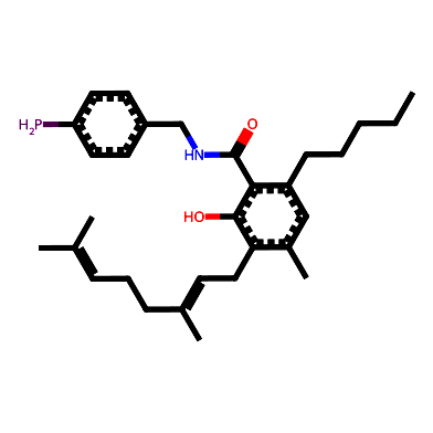 CCCCCc1cc(C)c(C/C=C(\C)CCC=C(C)C)c(O)c1C(=O)NCc1ccc(P)cc1